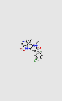 O=C([O-])c1cnccc1Nc1cc(-c2cc(Cl)ccc2F)c(=O)[nH]c1C1CC1.[Li+]